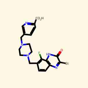 CCc1nc2ccc(CN3CCN(Cc4ccc(C(=O)O)nc4)CC3)c(F)c2[nH]c1=O